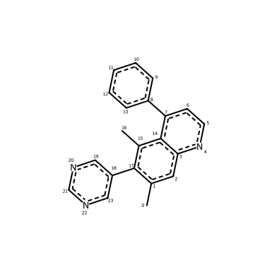 Cc1cc2nccc(-c3ccccc3)c2c(C)c1-c1cncnc1